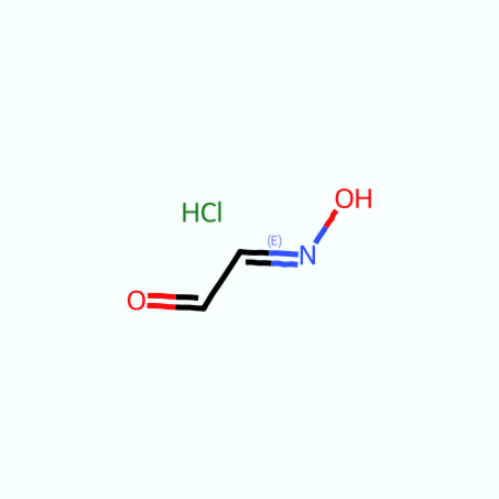 Cl.O=C/C=N/O